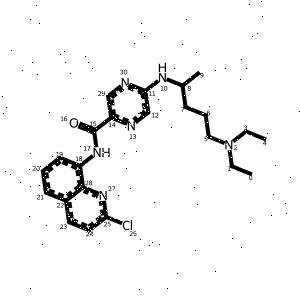 CCN(CC)CCCC(C)Nc1cnc(C(=O)Nc2cccc3ccc(Cl)nc23)cn1